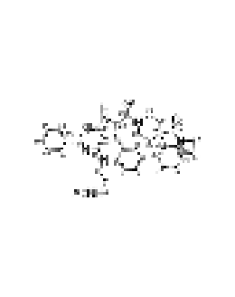 CC(=O)NCCN(c1ccccc1)c1nc(-c2ccccc2)nc2[nH]c(C(=O)N3CCC(C(=O)N4CCC4)(c4ccccc4)CC3)cc12